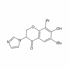 CC(C)c1c(O)c(C(C)(C)C)cc2c1OCC(n1ccnc1)C2=O